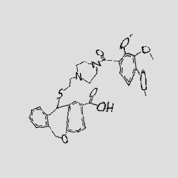 COc1ccc(C(=O)N2CCN(CCSC3c4ccccc4COc4ccc(C(=O)O)cc43)CC2)c(OC)c1OC